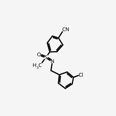 CS(=O)(=NCc1cccc(Cl)c1)c1ccc(C#N)cc1